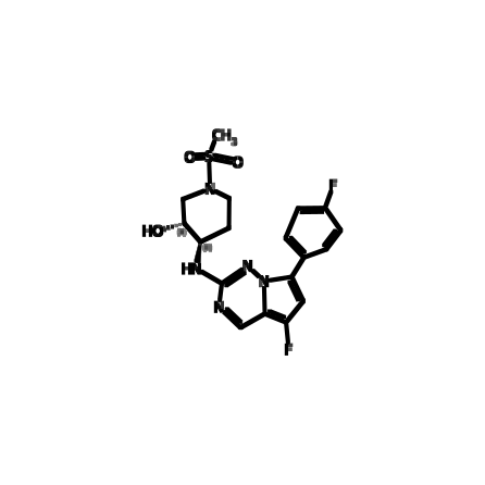 CS(=O)(=O)N1CC[C@@H](Nc2ncc3c(F)cc(-c4ccc(F)cc4)n3n2)[C@H](O)C1